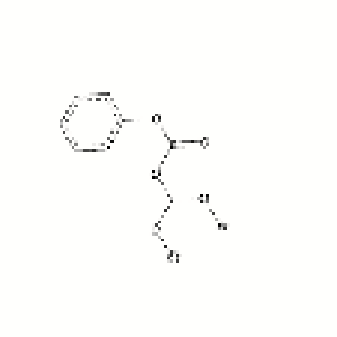 CCOC(OCC)[O][Ti](=[O])[O]c1ccccc1